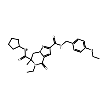 CCOc1ccc(CNC(=O)c2cc3n(n2)CC(C)(C(=O)NC2CCCC2)N(CC)C3=O)cc1